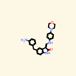 Nc1cccc(Cc2ccc3c(c2)C(=CNc2ccc(N4CCOCC4)cc2)C(=O)N3)c1